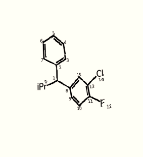 [CH2]C(C)C(c1ccccc1)c1ccc(F)c(Cl)c1